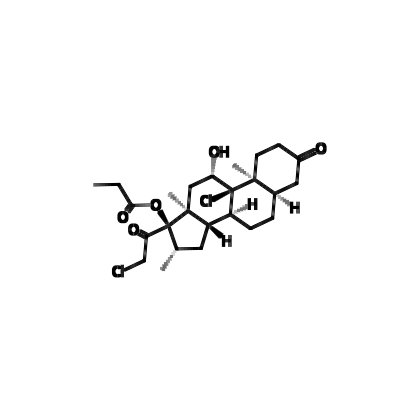 CCC(=O)O[C@]1(C(=O)CCl)[C@@H](C)C[C@H]2[C@@H]3CC[C@@H]4CC(=O)CC[C@]4(C)[C@@]3(Cl)[C@@H](O)C[C@@]21C